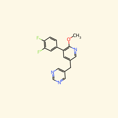 COc1ncc(Cc2cncnc2)cc1-c1ccc(F)c(F)c1